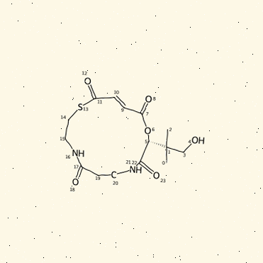 CC(C)(CO)[C@H]1OC(=O)/C=C/C(=O)SCCNC(=O)CCNC1=O